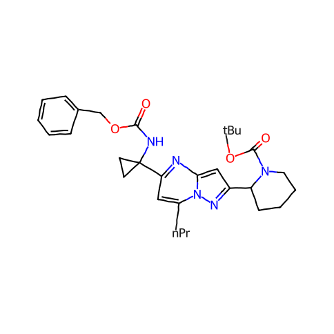 CCCc1cc(C2(NC(=O)OCc3ccccc3)CC2)nc2cc(C3CCCCN3C(=O)OC(C)(C)C)nn12